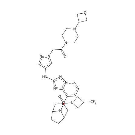 O=C(Cn1cc(Nc2nc3c(N4CC5CCC(C4)N5C(=O)N4CC(C(F)(F)F)C4)cccn3n2)cn1)N1CCN(C2COC2)CC1